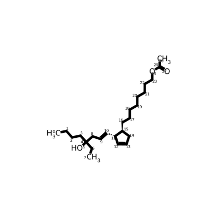 CCCCC(O)(CC)C/C=C/[C@H]1C=CC[C@@H]1CCCCCCCCOC(C)=O